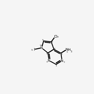 Nc1ncnc2c1c(Cl)cn2I